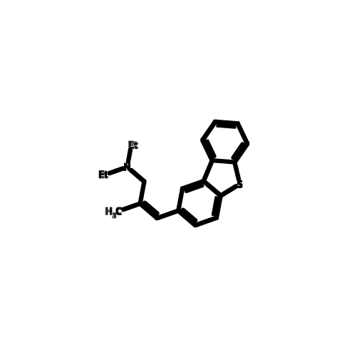 CCN(CC)CC(C)=Cc1ccc2sc3ccccc3c2c1